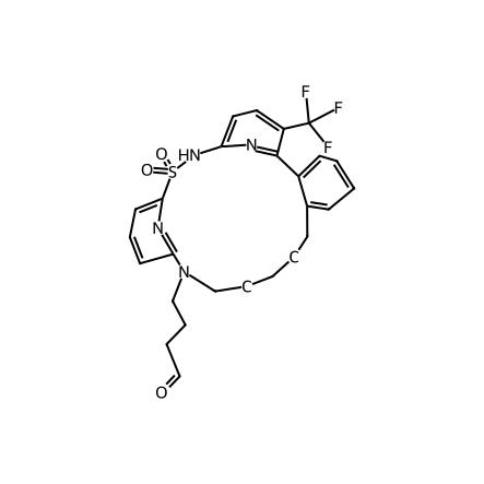 O=CCCCN1CCCCCc2ccccc2-c2nc(ccc2C(F)(F)F)NS(=O)(=O)c2cccc1n2